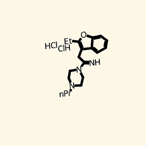 CCCN1CCN(C(=N)Cc2c(CC)oc3ccccc23)CC1.Cl.Cl